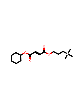 C[Si](C)(C)CCCOC(=O)/C=C/C(=O)OC1CCCCC1